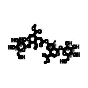 C=CC1C(CC(=O)O[C@H]2CC3C(C(=O)OC)=CO[C@@H](O[C@@H]4O[C@H](CO)[C@@H](O)[C@H](O)[C@H]4O)C3[C@H]2C)C(C(=O)OC)=CO[C@H]1O[C@@H]1O[C@H](CO)[C@@H](O)[C@H](O)[C@H]1O